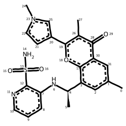 Cc1cc([C@@H](C)Nc2cccnc2S(N)(=O)=O)c2oc(-c3ccn(C)c3)c(C)c(=O)c2c1